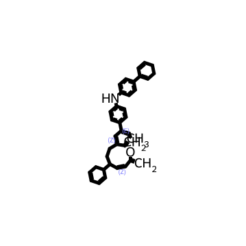 C=C1/C=C\C(C2C=CC=CC2)CC/C(=C/C(=C\C)c2ccc(Nc3ccc(C4=CCCC=C4)cc3)cc2)C(=C)O1